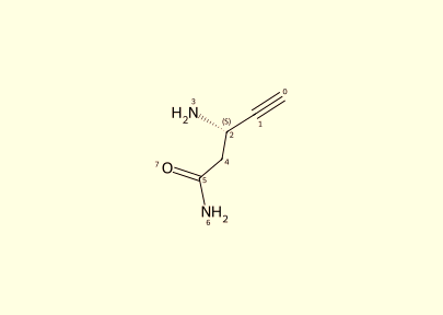 C#C[C@@H](N)CC(N)=O